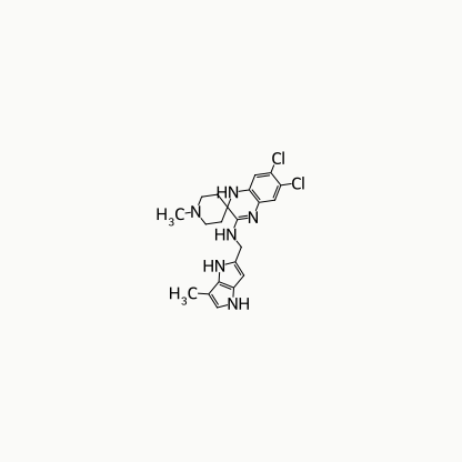 Cc1c[nH]c2cc(CNC3=Nc4cc(Cl)c(Cl)cc4NC34CCN(C)CC4)[nH]c12